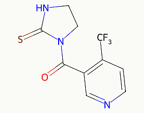 O=C(c1cnccc1C(F)(F)F)N1CCNC1=S